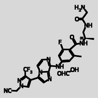 Cc1cc(Nc2nccn3c(-c4cn(CC#N)nc4C(F)(F)F)cnc23)cc(F)c1C(=O)N[C@H](C)CNC(=O)CN.O=CO